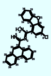 N=C(/N=C(\N)c1cc(Cl)cc2oc3ccccc3c12)c1cc2ccccc2c2ccccc12